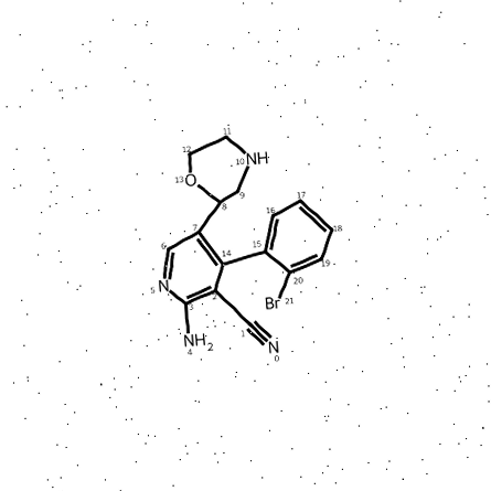 N#Cc1c(N)ncc(C2CNCCO2)c1-c1ccccc1Br